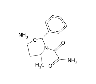 C[C@@H]1CCC[C@H](c2ccccc2)N1C(=O)C(N)=O.N